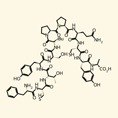 CC[C@H](C)[C@H](NC(=O)[C@H](CO)NC(=O)[C@H](Cc1ccc(O)cc1)NC(=O)[C@@H](NC(=O)[C@H](CS)NC(=O)[C@@H](N)Cc1ccccc1)[C@@H](C)O)C(=O)N1CCC[C@H]1C(=O)N1CCC[C@H]1C(=O)N[C@@H](CCC(N)=O)C(=O)N[C@@H](CS)C(=O)N[C@@H](Cc1ccc(O)cc1)C(=O)N[C@@H](C)C(=O)O